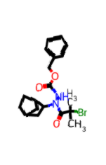 CC(C)(Br)C(=O)N(NC(=O)OCc1ccccc1)C1CC2CCC1C2